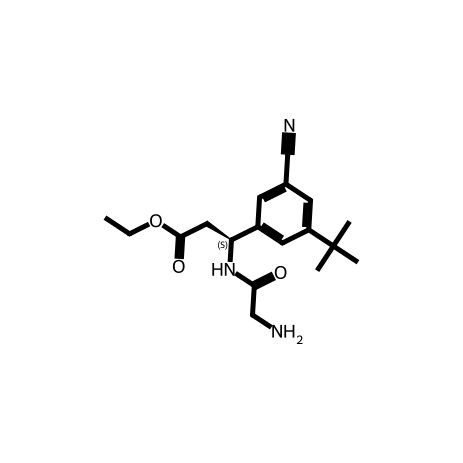 CCOC(=O)C[C@H](NC(=O)CN)c1cc(C#N)cc(C(C)(C)C)c1